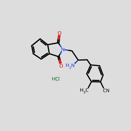 Cc1cc(C[C@@H](N)CN2C(=O)c3ccccc3C2=O)ccc1C#N.Cl